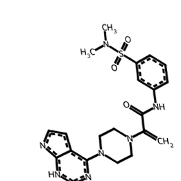 C=C(C(=O)Nc1cccc(S(=O)(=O)N(C)C)c1)N1CCN(c2nc[nH]c3nccc2-3)CC1